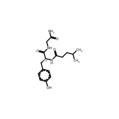 CC(C)CCC(=O)N[C@@H](Cc1ccc(O)cc1)C(=O)NCC(N)=O